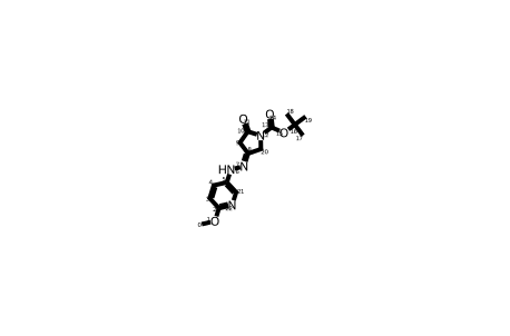 COc1ccc(N/N=C2\CC(=O)N(C(=O)OC(C)(C)C)C2)cn1